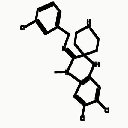 CN1/C(=N/Cc2cccc(Cl)c2)C2(CCNCC2)Nc2cc(Cl)c(Cl)cc21